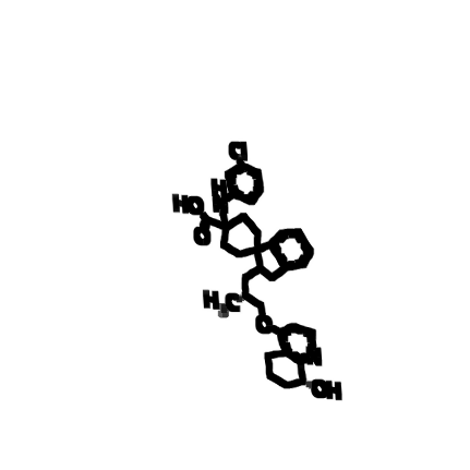 C[C@@H](COc1ccnc2c1CCC[C@H]2O)CC1Cc2ccccc2C12CCC(Nc1cccc(Cl)c1)(C(=O)O)CC2